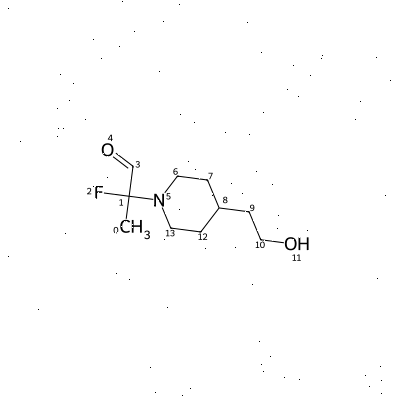 CC(F)(C=O)N1CCC(CCO)CC1